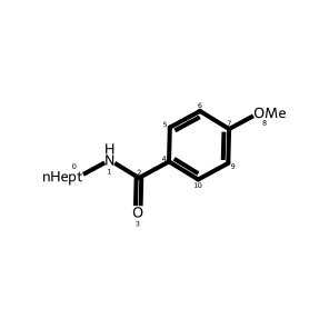 CCCCCCCNC(=O)c1ccc(OC)cc1